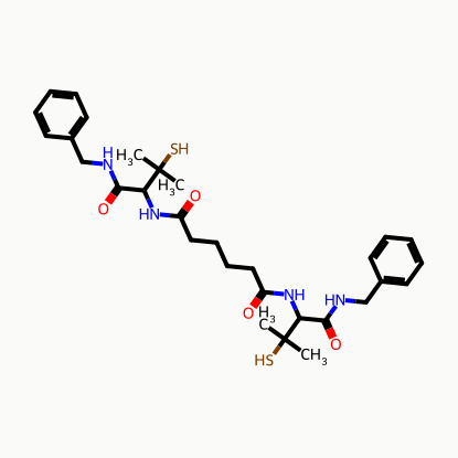 CC(C)(S)C(NC(=O)CCCCC(=O)NC(C(=O)NCc1ccccc1)C(C)(C)S)C(=O)NCc1ccccc1